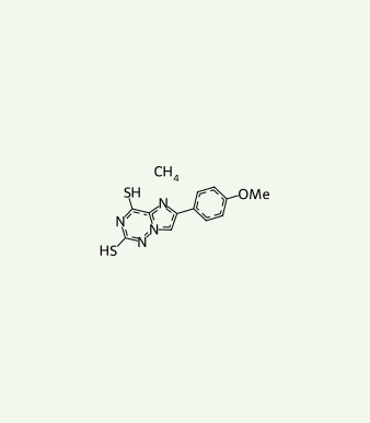 C.COc1ccc(-c2cn3nc(S)nc(S)c3n2)cc1